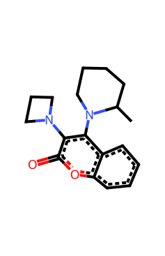 CC1CCCCN1c1c(N2CCC2)c(=O)oc2ccccc12